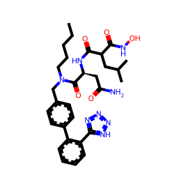 CCCCCN(Cc1ccc(-c2ccccc2-c2nnn[nH]2)cc1)C(=O)[C@H](CC(N)=O)NC(=O)C(CC(C)C)C(=O)NO